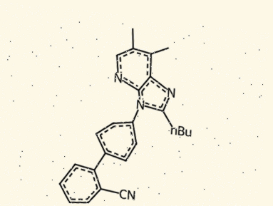 CCCCc1nc2c(C)c(C)cnc2n1-c1ccc(-c2ccccc2C#N)cc1